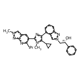 CC(C)c1nc2nn(C)cc2cc1-c1nc(-c2cccc3nn(C[C@H](O)c4ccccc4)cc23)c(C2CC2)n1C